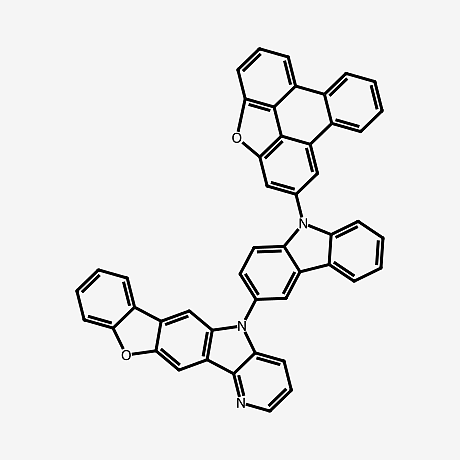 c1ccc2c(c1)oc1cc3c4ncccc4n(-c4ccc5c(c4)c4ccccc4n5-c4cc5oc6cccc7c8ccccc8c(c4)c5c67)c3cc12